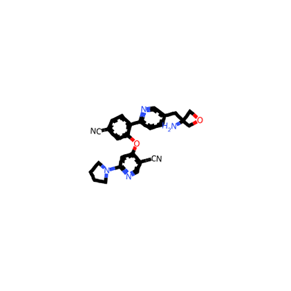 N#Cc1ccc(-c2ccc(CC3(N)COC3)cn2)c(Oc2cc(N3CCCC3)ncc2C#N)c1